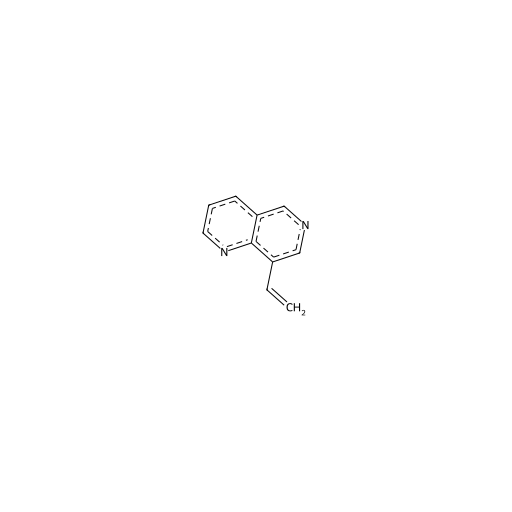 C=Cc1cncc2cccnc12